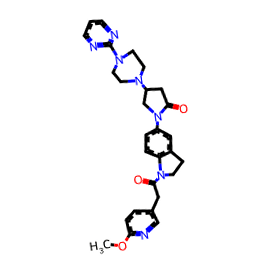 COc1ccc(CC(=O)N2CCc3cc(N4CC(N5CCN(c6ncccn6)CC5)CC4=O)ccc32)cn1